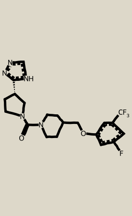 O=C(N1CCC(COc2cc(F)cc(C(F)(F)F)c2)CC1)N1CC[C@H](c2nnc[nH]2)C1